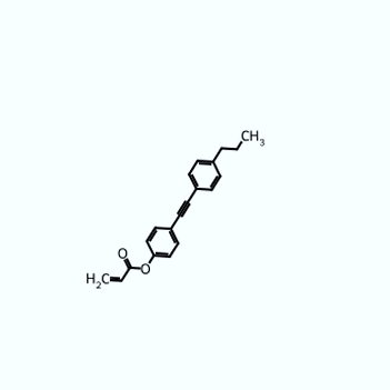 C=CC(=O)Oc1ccc(C#Cc2ccc(CCC)cc2)cc1